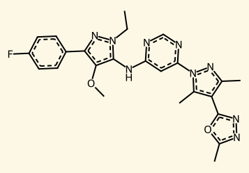 CCn1nc(-c2ccc(F)cc2)c(OC)c1Nc1cc(-n2nc(C)c(-c3nnc(C)o3)c2C)ncn1